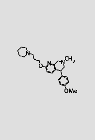 COc1ccc(C2CN(C)Cc3nc(OCCCN4CCCCC4)ccc32)cc1